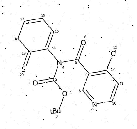 CC(C)(C)OC(=O)N(C(=O)c1cnccc1Cl)C1=CC=CCC1=S